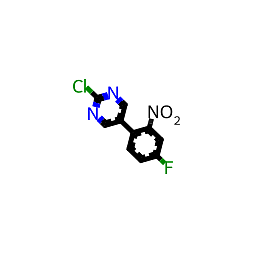 O=[N+]([O-])c1cc(F)ccc1-c1cnc(Cl)nc1